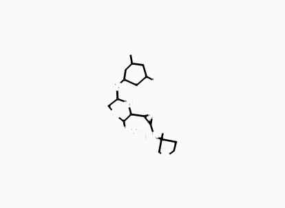 COC1CCC(NC2CC(F)CC(F)C2)NC1C1OC1NC1(C)CCOC1